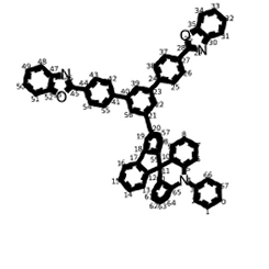 c1ccc(N2c3ccccc3C3(c4ccccc4-c4cc(-c5cc(-c6ccc(-c7nc8ccccc8o7)cc6)cc(-c6ccc(-c7nc8ccccc8o7)cc6)c5)ccc43)c3ccccc32)cc1